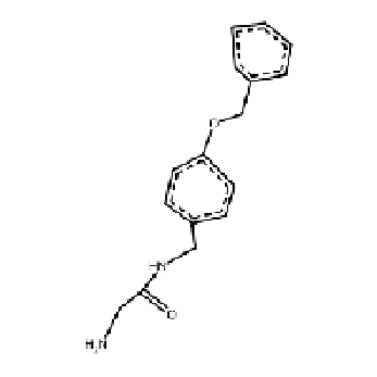 NCC(=O)NCc1ccc(OCc2ccccc2)cc1